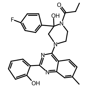 CCC(=O)N1CCN(c2nc(-c3ccccc3O)nc3cc(C)ccc23)CC1(O)c1ccc(F)cc1